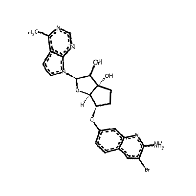 Cc1ncnc2c1ccn2[C@@H]1O[C@@H]2[C@H](Oc3ccc4cc(Br)c(N)nc4c3)CC[C@]2(O)C1O